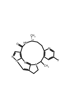 CC1c2cc(F)cnc2CC[C@@H](C)NC(=O)c2cnn3cc4c(nc23)N1CC4